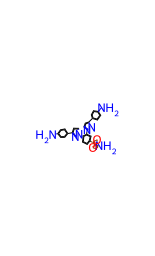 Nc1ccc(-c2ccn(-c3ccc(S(N)(=O)=O)cc3-n3ccc(-c4ccc(N)cc4)n3)n2)cc1